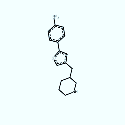 Nc1ccc(-c2nc(CC3CCCNC3)co2)cc1